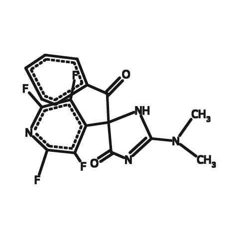 CN(C)C1=NC(=O)C(C(=O)c2ccccc2)(c2c(F)c(F)nc(F)c2F)N1